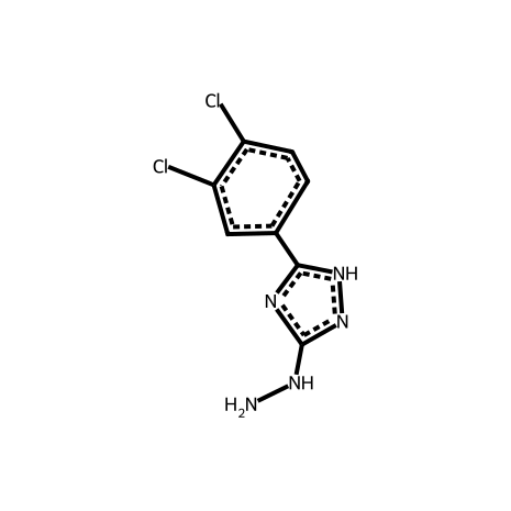 NNc1n[nH]c(-c2ccc(Cl)c(Cl)c2)n1